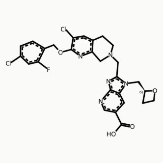 O=C(O)c1cnc2nc(CN3CCc4cc(Cl)c(OCc5ccc(Cl)cc5F)nc4C3)n(C[C@@H]3CCO3)c2c1